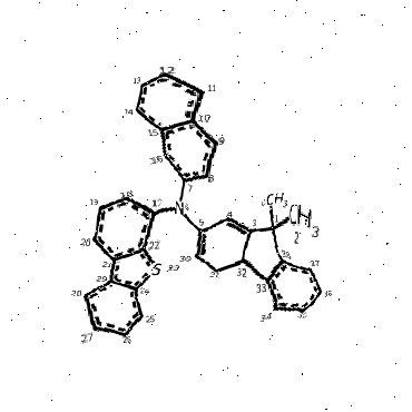 CC1(C)C2=CC(N(c3ccc4ccccc4c3)c3cccc4c3sc3ccccc34)=CCC2c2ccccc21